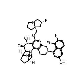 CCc1c(F)ccc2cc(O)cc(N3CCc4c(nc(OC[C@@]56CCCN5C[C@H](F)C6)c5c4N4C[C@H]6CC[C@H](N6)C4C(=O)N5C)C3)c12